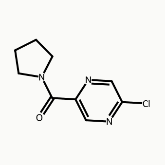 O=C(c1cnc(Cl)cn1)N1CCCC1